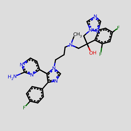 CN(CCCn1cnc(-c2ccc(F)cc2)c1-c1ccnc(N)n1)CC(O)(Cn1cncn1)c1ccc(F)cc1F